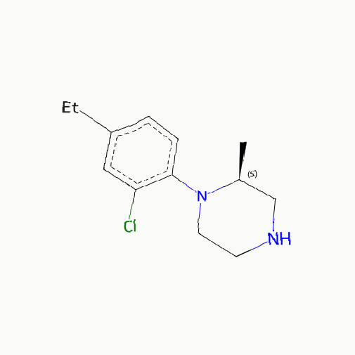 CCc1ccc(N2CCNC[C@@H]2C)c(Cl)c1